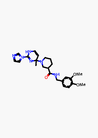 COc1ccc(CNC(=O)C2CCCN(C3(C)C=CNC(n4ccnc4)=N3)C2)cc1OC